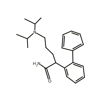 CC(C)N(CCCC(C(N)=O)c1ccccc1-c1ccccc1)C(C)C